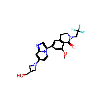 COc1cc(-c2cnc3cc(N4CC(CO)C4)ccn23)cc2c1C(=O)N(CC(F)(F)F)CC2